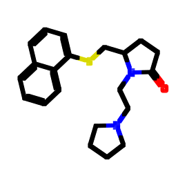 O=C1CCC(CSc2cccc3ccccc23)N1CCN1CCCC1